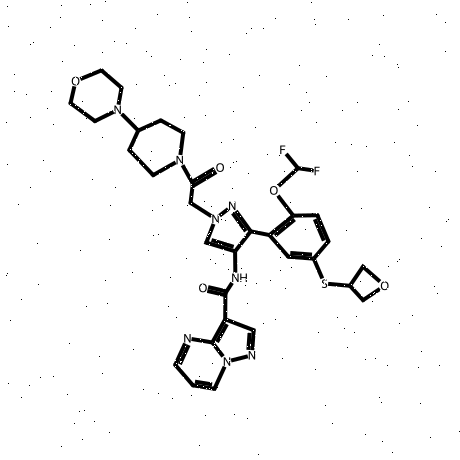 O=C(Nc1cn(CC(=O)N2CCC(N3CCOCC3)CC2)nc1-c1cc(SC2COC2)ccc1OC(F)F)c1cnn2cccnc12